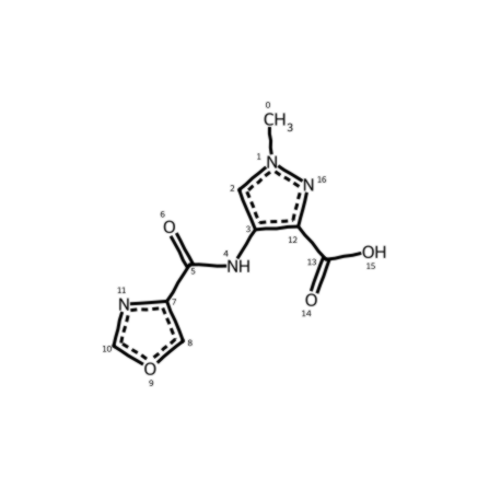 Cn1cc(NC(=O)c2cocn2)c(C(=O)O)n1